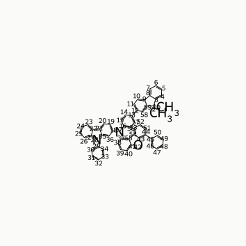 CC1(C)c2ccccc2-c2ccc(-c3ccc(N(c4ccc5c6ccccc6n(-c6ccccc6)c5c4)c4cccc5oc6c(-c7ccccc7)cccc6c45)cc3)cc21